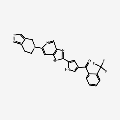 O=C(c1c[nH]c(-c2nc3cnc(N4CCc5nocc5C4)cc3[nH]2)c1)c1ccccc1C(F)(F)F